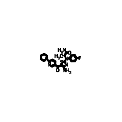 C[C@H](C(N)=O)N(c1ccc(F)cc1)c1nc(N)c(C(=O)c2ccc(N3CCCCC3)nc2)s1